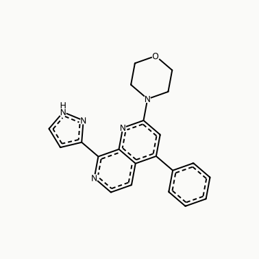 c1ccc(-c2cc(N3CCOCC3)nc3c(-c4cc[nH]n4)nccc23)cc1